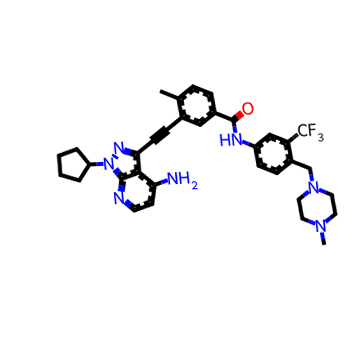 Cc1ccc(C(=O)Nc2ccc(CN3CCN(C)CC3)c(C(F)(F)F)c2)cc1C#Cc1nn(C2CCCC2)c2nccc(N)c12